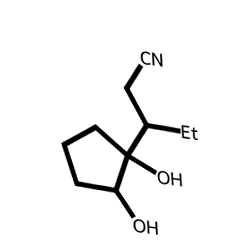 CCC(CC#N)C1(O)CCCC1O